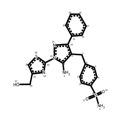 Nc1c(Cc2ccc(S(N)(=O)=O)cc2)c(-c2ccccc2)nn1-c1nc(CO)cs1